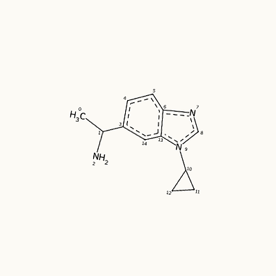 CC(N)c1ccc2ncn(C3CC3)c2c1